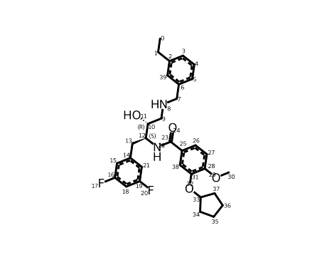 CCc1cccc(CNC[C@@H](O)[C@H](Cc2cc(F)cc(F)c2)NC(=O)c2ccc(OC)c(OC3CCCC3)c2)c1